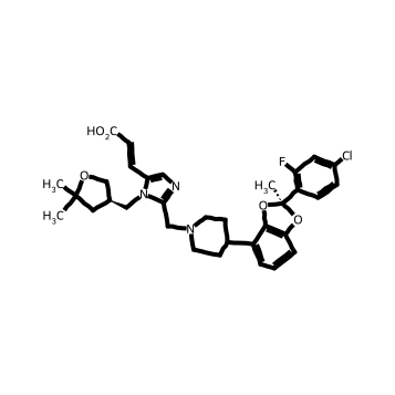 CC1(C)C[C@H](Cn2c(/C=C/C(=O)O)cnc2CN2CCC(c3cccc4c3O[C@@](C)(c3ccc(Cl)cc3F)O4)CC2)CO1